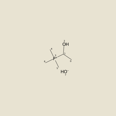 CC(O)[P+](C)(C)C.[OH-]